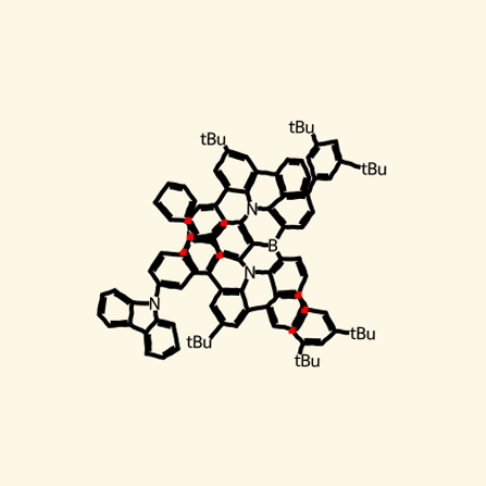 CC(C)(C)c1cc(-c2ccc3c(c2)N(c2c(-c4ccccc4)cc(C(C)(C)C)cc2-c2ccccc2)c2cc(N(c4ccccc4)c4ccc(-n5c6ccccc6c6ccccc65)cc4)cc4c2B3c2ccc(-c3cc(C(C)(C)C)cc(C(C)(C)C)c3)cc2N4c2c(-c3ccccc3)cc(C(C)(C)C)cc2-c2ccccc2)cc(C(C)(C)C)c1